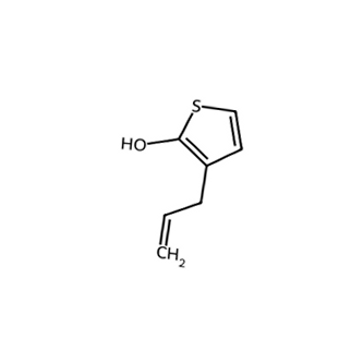 C=CCc1ccsc1O